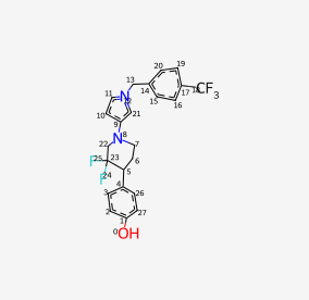 Oc1ccc(C2CCN(c3ccn(Cc4ccc(C(F)(F)F)cc4)c3)CC2(F)F)cc1